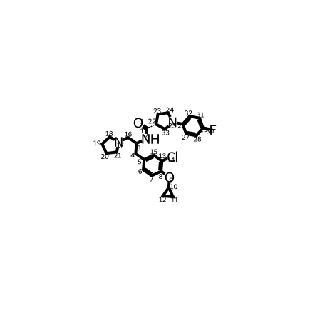 O=C(NC(Cc1ccc(OC2CC2)c(Cl)c1)CN1CCCC1)[C@@H]1CCN(c2ccc(F)cc2)C1